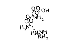 N=C(N)NCCCC(N)C(=O)OC(=O)C(N)CC(=O)OC(=O)CO